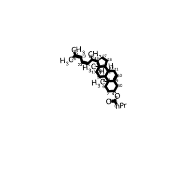 CCCC(=O)O[C@@H]1CC[C@@]2(C)C(=CC[C@@H]3C2CC[C@]2(C)[C@@H]([C@H](C)/C=C\C=C(C)C)CC[C@@H]32)C1